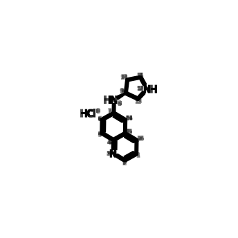 Cl.c1cnc2ccc(N[C@H]3CCNC3)cc2c1